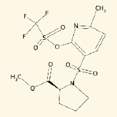 COC(=O)[C@@H]1CCCN1S(=O)(=O)c1ccc(C)nc1OS(=O)(=O)C(F)(F)F